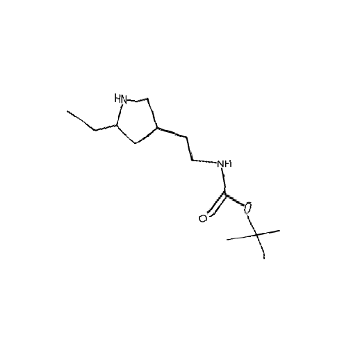 CCC1CC(CCNC(=O)OC(C)(C)C)CN1